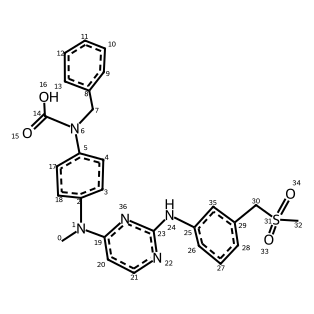 CN(c1ccc(N(Cc2ccccc2)C(=O)O)cc1)c1ccnc(Nc2cccc(CS(C)(=O)=O)c2)n1